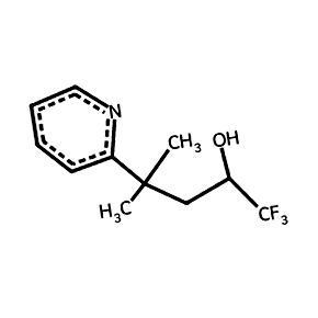 CC(C)(CC(O)C(F)(F)F)c1ccccn1